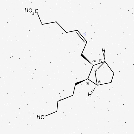 O=C(O)CCC/C=C\C[C@H]1[C@H]2CC[C@H](C2)[C@H]1CCCCO